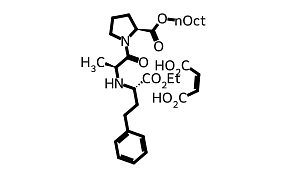 CCCCCCCCOC(=O)[C@@H]1CCCN1C(=O)[C@H](C)N[C@@H](CCc1ccccc1)C(=O)OCC.O=C(O)/C=C\C(=O)O